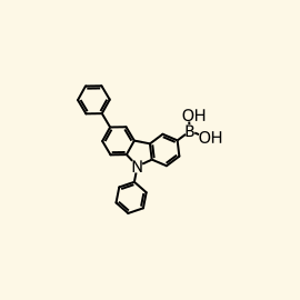 OB(O)c1ccc2c(c1)c1cc(-c3ccccc3)ccc1n2-c1ccccc1